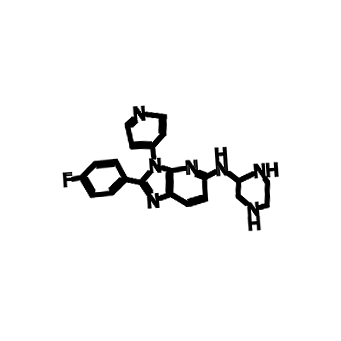 Fc1ccc(-c2nc3ccc(NC4CNCCN4)nc3n2-c2ccncc2)cc1